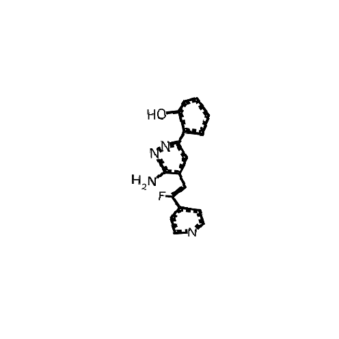 Nc1nnc(-c2ccccc2O)cc1/C=C(\F)c1ccncc1